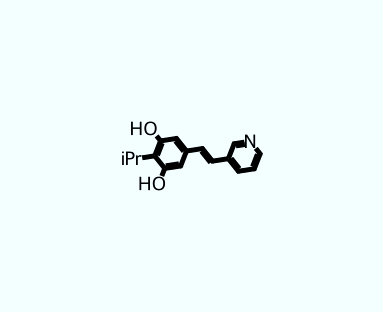 CC(C)c1c(O)cc(/C=C/c2cccnc2)cc1O